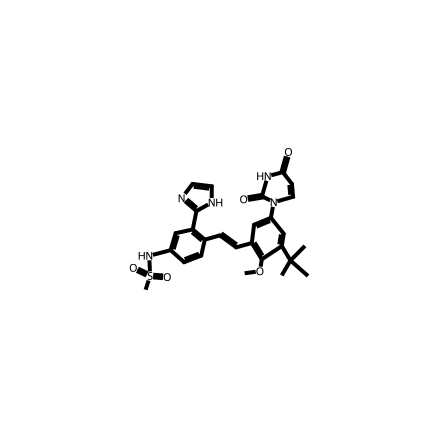 COc1c(C=Cc2ccc(NS(C)(=O)=O)cc2-c2ncc[nH]2)cc(-n2ccc(=O)[nH]c2=O)cc1C(C)(C)C